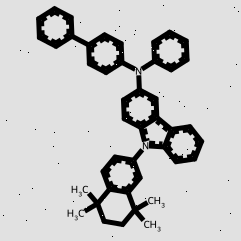 CC1(C)CCC(C)(C)c2cc(-n3c4ccccc4c4cc(N(c5ccccc5)c5ccc(-c6ccccc6)cc5)ccc43)ccc21